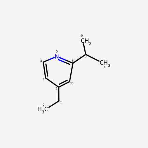 CCc1ccnc(C(C)C)c1